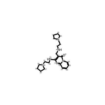 O=c1c(CNCCN2CCCC2)c(NCCN2CCCC2)nc2ccccn12